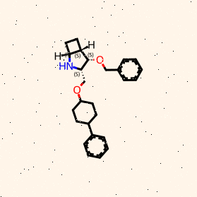 c1ccc(CO[C@H]2[C@H]3CC[C@H]3N[C@H]2COC2CCC(c3ccccc3)CC2)cc1